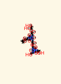 CC(C)(O)Cn1c(=O)n(CCO)c(=O)n(CCOC(=O)CCn2c(=O)n(CCC(=O)OCC(O)CO)c(=O)n(CCC(=O)OC(C)(C)C)c2=O)c1=O